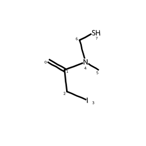 C=C(CI)N(C)CS